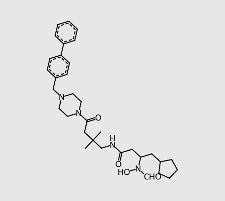 CC(C)(CNC(=O)CC(CC1CCCC1)N(O)C=O)CC(=O)N1CCN(Cc2ccc(-c3ccccc3)cc2)CC1